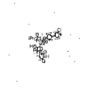 CC(C)OC(=O)[C@H](C)NP(=O)(OC[C@H]1O[C@@H](n2ccc(=O)[nH]c2=O)[C@](C)(F)[C@@H]1O)Oc1ccc(-c2ccnc(Cl)c2)cc1